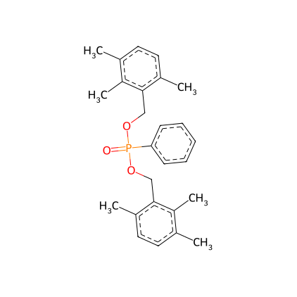 Cc1ccc(C)c(COP(=O)(OCc2c(C)ccc(C)c2C)c2ccccc2)c1C